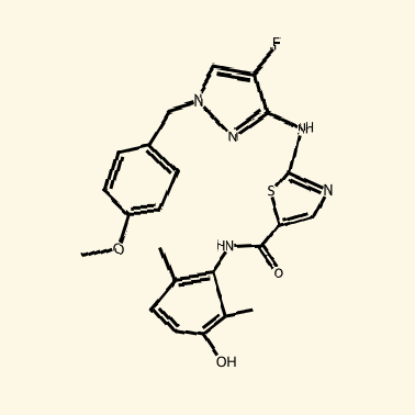 COc1ccc(Cn2cc(F)c(Nc3ncc(C(=O)Nc4c(C)ccc(O)c4C)s3)n2)cc1